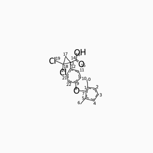 Cc1cccc(C)c1Oc1ccc(C2(C(=O)O)CC2(Cl)Cl)cc1